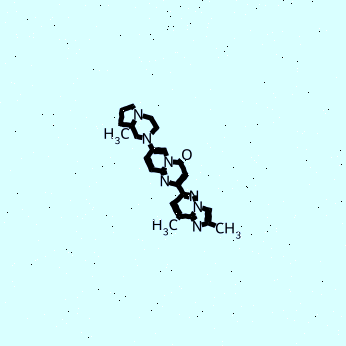 Cc1cn2nc(-c3cc(=O)n4cc(N5CCN6CCC[C@]6(C)C5)ccc4n3)cc(C)c2n1